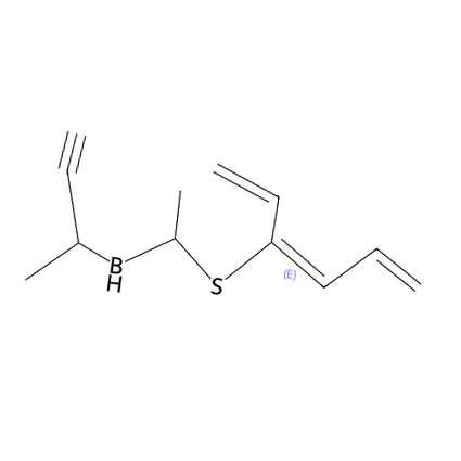 C#CC(C)BC(C)S/C(C=C)=C/C=C